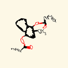 CCCCCCC(=O)Oc1cc(C)c(OC(=O)CCCCCC)c2ccccc12